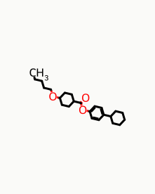 CCCCCOC1CCC(C(=O)Oc2ccc(C3CCCCC3)cc2)CC1